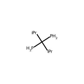 CC(C)C(P)(P)C(C)C